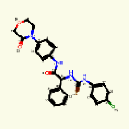 O=C(Nc1ccc(N2CCOCC2=O)cc1)C(NC(=S)Nc1ccc(Cl)cc1)c1ccccc1